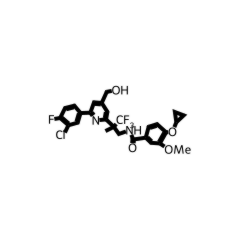 COc1cc(C(=O)NCC(C)(c2cc(CO)cc(-c3ccc(F)c(Cl)c3)n2)C(F)(F)F)ccc1OC1CC1